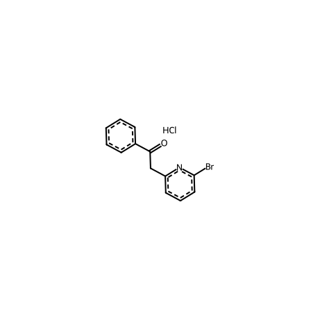 Cl.O=C(Cc1cccc(Br)n1)c1ccccc1